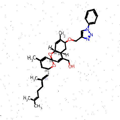 CC(C)=CCC/C(C)=C/[C@@H]1CC(C)=C[C@]2(C=C(CO)[C@H]3CC(OCc4cn(-c5ccccc5)nn4)C(C)=C[C@H]3O2)O1